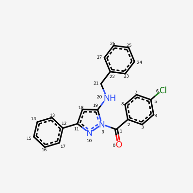 O=C(c1ccc(Cl)cc1)n1nc(-c2ccccc2)cc1NCc1ccccc1